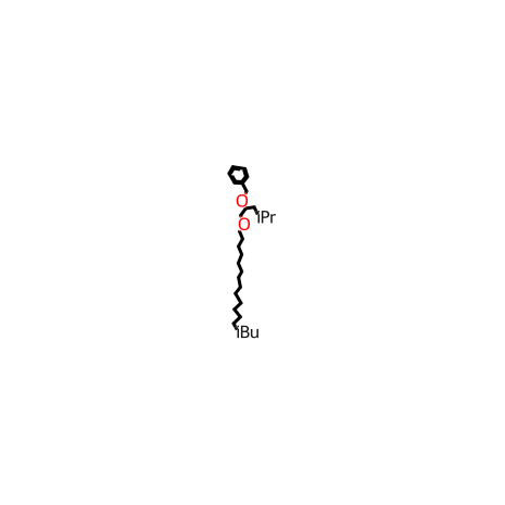 CCC(C)CCCCCCCCCCCCCOCC(CC(C)C)OCc1ccccc1